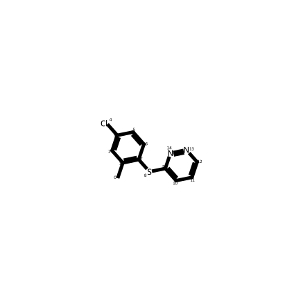 Cc1cc(Cl)ccc1Sc1cccnn1